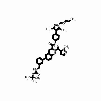 CCCOCn1nc(C)c(-c2ccc(NC(=O)C(Cc3cc(-c4cccc(CNC(=O)OC(C)(C)C)c4)ccc3Cl)NC(=O)c3ccnn3C)cc2)c1C